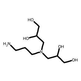 NCCCN(CC(O)CO)CC(O)CO